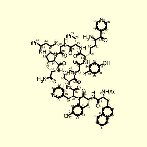 CC(=O)N[C@@H](Cc1ccc2ccccc2c1)C(=O)N[C@@H](Cc1ccc(Cl)cc1)C(=O)N[C@@H](Cc1cccnc1)C(=O)N[C@@H](CO)C(=O)N(C)[C@@H](Cc1ccc(O)cc1)C(=O)N[C@@H](CCCC(N)C(=O)c1ccncc1)C(=O)N[C@@H](CC(C)C)C(=O)N[C@@H](CCCC(N)C(C)C)C(=O)N1CCC[C@@H]1C(=O)N[C@@H](C)C(N)=O